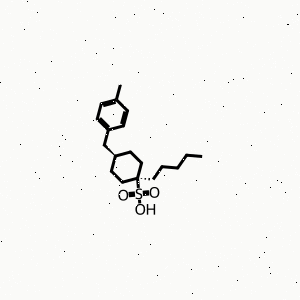 CCCCC[C@]1(S(=O)(=O)O)CC[C@@H](Cc2ccc(C)cc2)CC1